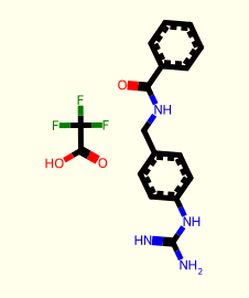 N=C(N)Nc1ccc(CNC(=O)c2ccccc2)cc1.O=C(O)C(F)(F)F